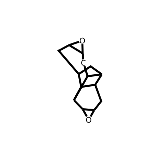 C1C2CC3C4CC5OC5C(C3CC3OC13)C24